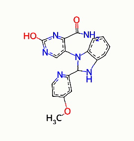 COc1ccnc(C2Nc3ccccc3N2c2cnc(O)nc2C(N)=O)c1